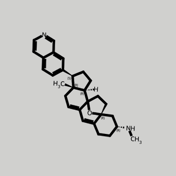 CN[C@@H]1CCC2=CC3=CC[C@]4(C)[C@@H](c5ccc6ccncc6c5)CC[C@H]4C34CC[C@]2(C1)O4